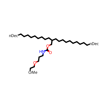 CCCCCCCCCCCCCCCCCCCCC(CCCCCCCCCCCCCCCCCCC)COC(=O)NCCCOCCOC